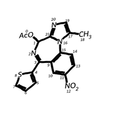 CC(=O)OC1N=C(c2cccs2)c2cc([N+](=O)[O-])ccc2-n2c(C)cnc21